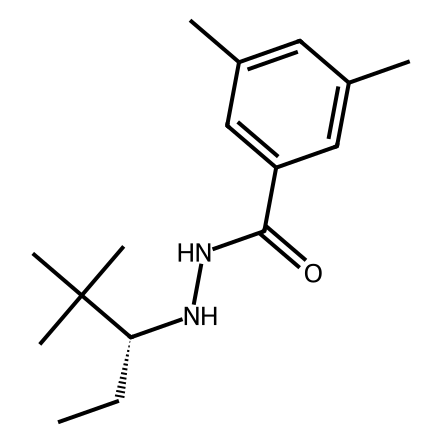 CC[C@@H](NNC(=O)c1cc(C)cc(C)c1)C(C)(C)C